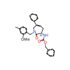 COc1cc(C)ccc1CN1CC(c2ccccc2)=CC[C@@H](NC(=O)OCc2ccccc2)C1=O